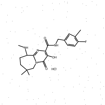 CNC1CCC(C)(C)Cn2c1nc(C(=O)NCc1ccc(F)c(C)c1)c(O)c2=O.Cl